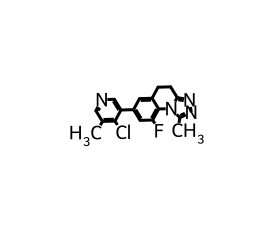 Cc1cncc(-c2cc(F)c3c(c2)CCc2nnc(C)n2-3)c1Cl